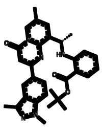 Cc1cc([C@H](C)Nc2ccccc2C(=O)OC(C)(C)C)c2nc(-c3ccc4c(c3)c(C)nn4C)cc(=O)n2c1